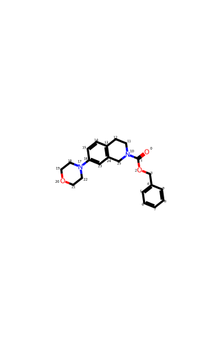 O=C(OCc1ccccc1)N1CCc2ccc(N3CCOCC3)cc2C1